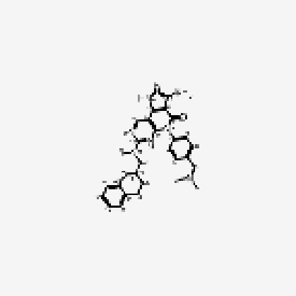 CN(C)Cc1ccc(-n2c(=O)c3c(N)n[nH]c3c3cnc(N(C)C[C@H]4CCc5ccccc5O4)nc32)cc1